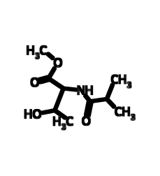 COC(=O)C(NC(=O)C(C)C)C(C)O